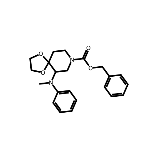 CN(c1ccccc1)C1CN(C(=O)OCc2ccccc2)CCC12OCCO2